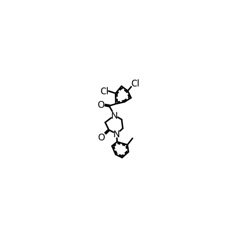 Cc1ccccc1N1CCN(C(=O)c2ccc(Cl)cc2Cl)CC1=O